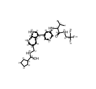 CC(C)C(Nc1cncc(-c2c[nH]c3ncc(CNC(O)C4CCCC4)cc23)c1)C(=O)NCC(F)(F)F